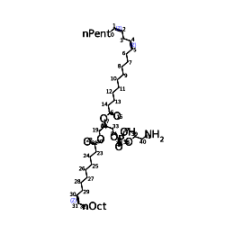 CCCCC/C=C\C/C=C\CCCCCCCCCC(=O)O[C@H](COC(=O)CCCCCCC/C=C\CCCCCCCC)COP(=O)(O)OCCN